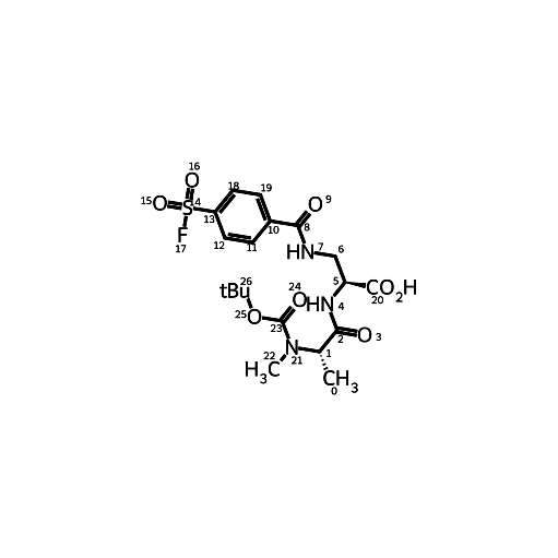 C[C@@H](C(=O)N[C@@H](CNC(=O)c1ccc(S(=O)(=O)F)cc1)C(=O)O)N(C)C(=O)OC(C)(C)C